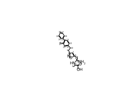 CC(NC(N)=Nc1cc(CCc2ccc(-c3ccccc3)c(F)c2)no1)C(=O)O